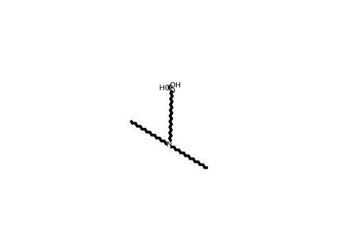 CCCCCCCCCCCCCCCCN(CCCCCCCCCCCCCCCC)CCCCCCCCCCCCCCCCCCOP(O)O